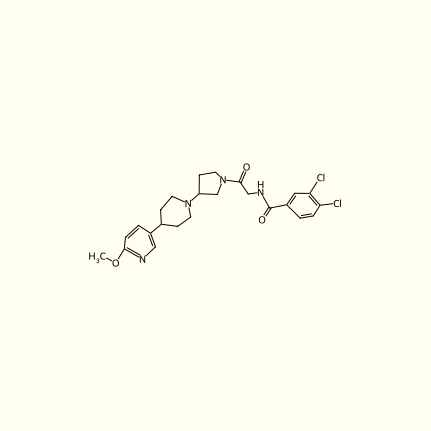 COc1ccc(C2CCN(C3CCN(C(=O)CNC(=O)c4ccc(Cl)c(Cl)c4)C3)CC2)cn1